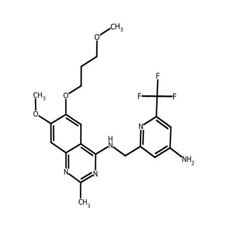 COCCCOc1cc2c(NCc3cc(N)cc(C(F)(F)F)n3)nc(C)nc2cc1OC